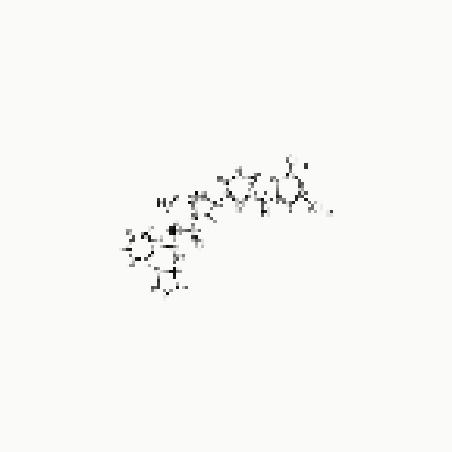 Cc1cc(C)cc(Nc2nccc(-c3cc(C(=O)NC(CN4CCCC4)c4ccccc4)n(C)n3)n2)c1